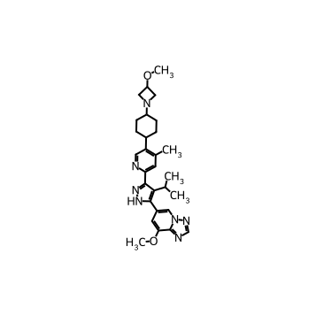 COc1cc(-c2[nH]nc(-c3cc(C)c(C4CCC(N5CC(OC)C5)CC4)cn3)c2C(C)C)cn2ncnc12